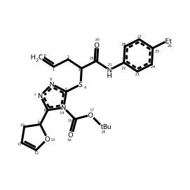 C=CCC(Sc1nnc(C2CC=CO2)n1C(=O)OC(C)(C)C)C(=O)Nc1ccc(CC)cc1